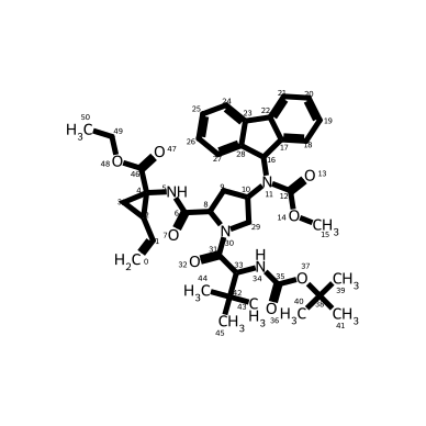 C=CC1CC1(NC(=O)C1CC(N(C(=O)OC)C2c3ccccc3-c3ccccc32)CN1C(=O)C(NC(=O)OC(C)(C)C)C(C)(C)C)C(=O)OCC